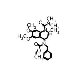 CCOC(=O)N(Cc1ccccc1)[C@H]1C[C@@H](C)N(C(=O)N(C)C)c2cc(OC)c(OC)cc21